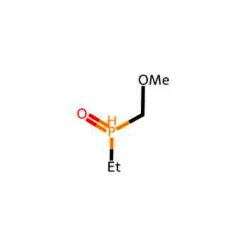 CC[PH](=O)COC